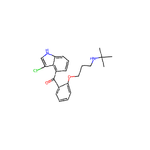 CC(C)(C)NCCCOc1ccccc1C(=O)c1cccc2[nH]cc(Cl)c12